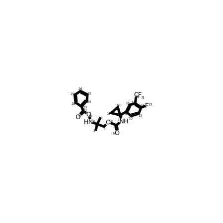 CC(C)(COC(=O)NC1(c2ccc(F)c(C(F)(F)F)c2)CC1)NOC(=O)c1ccccc1